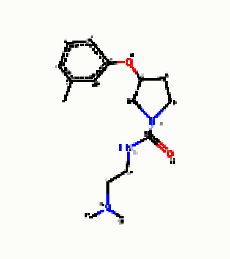 Cc1cccc(OC2CCN(C(=O)NCCN(C)C)C2)c1